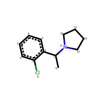 CC(c1ccccc1Cl)N1CCCC1